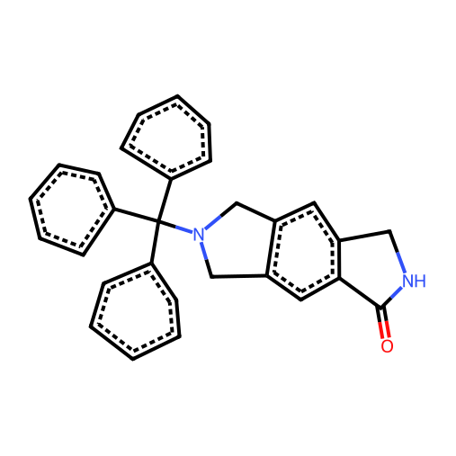 O=C1NCc2cc3c(cc21)CN(C(c1ccccc1)(c1ccccc1)c1ccccc1)C3